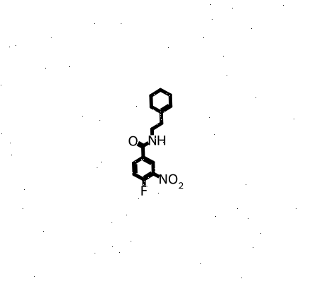 O=C(NCCC1=CCCCC1)c1ccc(F)c([N+](=O)[O-])c1